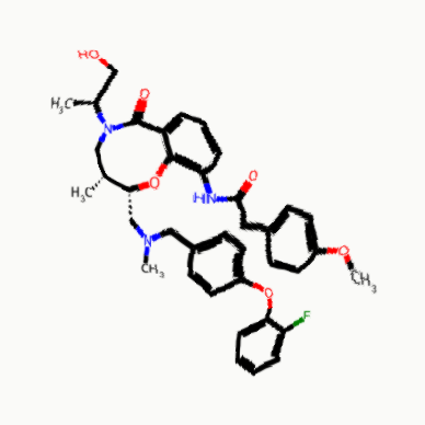 COc1ccc(CC(=O)Nc2cccc3c2O[C@H](CN(C)Cc2ccc(Oc4ccccc4F)cc2)[C@H](C)CN([C@@H](C)CO)C3=O)cc1